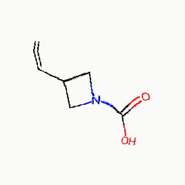 C=CC1CN(C(=O)O)C1